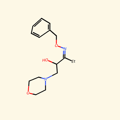 CCC(=NOCc1ccccc1)C(O)CN1CCOCC1